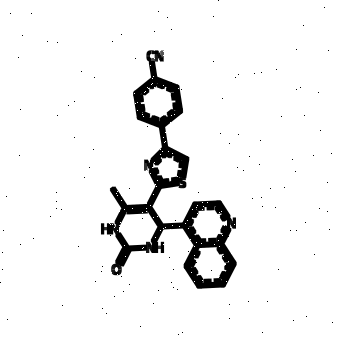 CC1=C(c2nc(-c3ccc(C#N)cc3)cs2)C(c2ccnc3ccccc23)NC(=O)N1